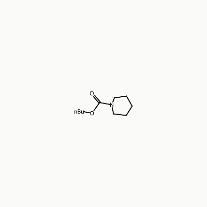 CCCCOC(=O)N1[CH]CCCC1